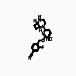 Cl.N#Cc1ccc(COc2cccc(N3CCN[C@@H]4CC[C@H]43)n2)c(F)c1